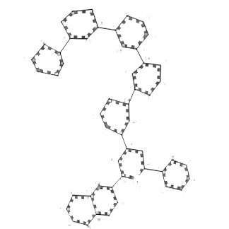 c1ccc(-c2cccc(-c3cccc(-c4cccc(-c5cccc(-c6cc(-c7ccccc7)nc(-c7ccc8ccccc8c7)c6)c5)c4)c3)c2)cc1